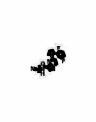 CC(C)(C#N)NC(=O)c1cnn2ccc(N3CCC[C@@H]3c3cc(F)ccc3F)nc12